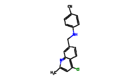 Cc1cc(Cl)c2ccc(CNc3ccc(C#N)cc3)cc2n1